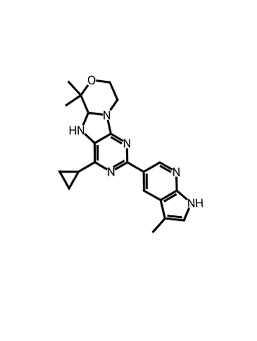 Cc1c[nH]c2ncc(-c3nc(C4CC4)c4c(n3)N3CCOC(C)(C)C3N4)cc12